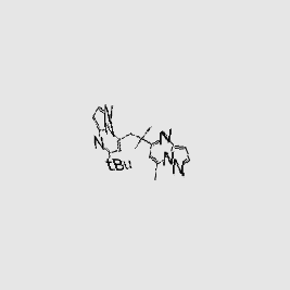 Cc1cc(C(C)(C)Cc2cc(C(C)(C)C)nc3ccnn23)nc2ccnn12